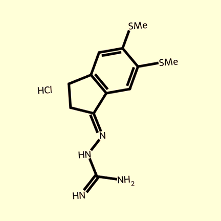 CSc1cc2c(cc1SC)C(=NNC(=N)N)CC2.Cl